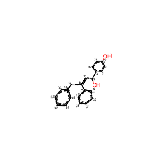 Oc1ccc(C(O)C=C(Cc2ccccc2)c2ccccc2)cc1